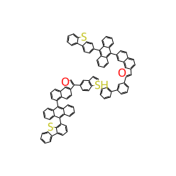 C1=C[SH](c2cccc(-c3cccc(-c4cc5ccc6ccc(-c7c8ccccc8c(-c8ccc9c(c8)sc8ccccc89)c8ccccc78)cc6c5o4)c3)c2)c2ccc(-c3coc4c3ccc3c(-c5c6ccccc6c(-c6cccc7c6sc6ccccc67)c6ccccc56)cccc34)cc21